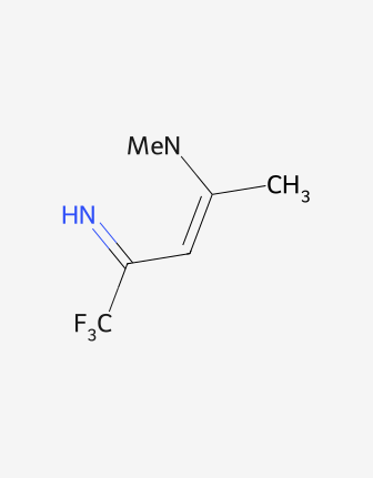 CN/C(C)=C\C(=N)C(F)(F)F